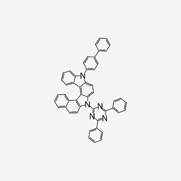 c1ccc(-c2ccc(-n3c4ccccc4c4c5c6c7ccccc7ccc6n(-c6nc(-c7ccccc7)nc(-c7ccccc7)n6)c5ccc43)cc2)cc1